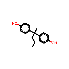 CCCC(C)(c1ccc(O)cc1)c1ccc(O)cc1